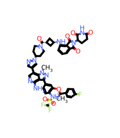 C[C@H](Oc1cc(-c2nn(C)c3c(-c4cnn(C5CCN(C(=O)[C@H]6C[C@H](Nc7cccc8c7C(=O)N(C7CCC(=O)NC7=O)C8=O)C6)CC5)c4)cnc(N)c23)ccc1NS(=O)(=O)C(F)F)c1ccc(F)cc1